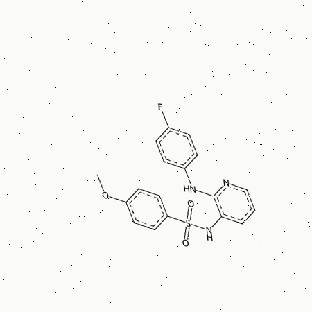 COc1ccc(S(=O)(=O)Nc2cccnc2Nc2ccc(F)cc2)cc1